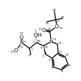 CC([C@H](O)[C@@H]1Cc2ccccc2CN1C(=O)OC(C)(C)C)[N+](=O)[O-]